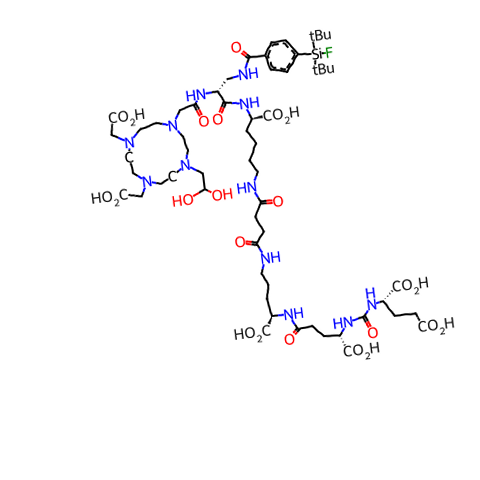 CC(C)(C)[Si](F)(c1ccc(C(=O)NC[C@@H](NC(=O)CN2CCN(CC(=O)O)CCN(CC(=O)O)CCN(CC(O)O)CC2)C(=O)N[C@H](CCCCNC(=O)CCC(=O)NCCC[C@@H](NC(=O)CC[C@H](NC(=O)N[C@@H](CCC(=O)O)C(=O)O)C(=O)O)C(=O)O)C(=O)O)cc1)C(C)(C)C